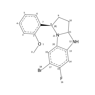 COc1ccccc1[C@H]1CCC2Nc3cc(F)c(Br)cc3N21